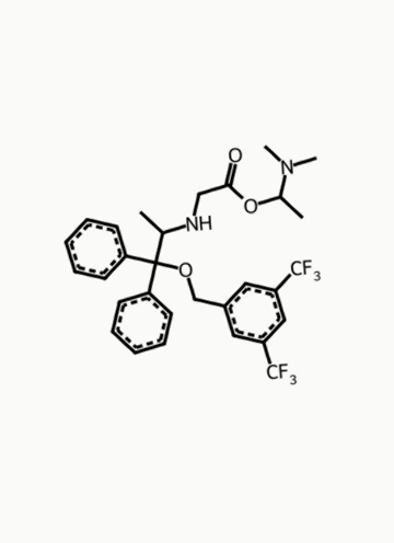 CC(OC(=O)CNC(C)C(OCc1cc(C(F)(F)F)cc(C(F)(F)F)c1)(c1ccccc1)c1ccccc1)N(C)C